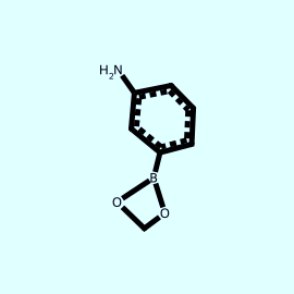 Nc1cccc(B2OCO2)c1